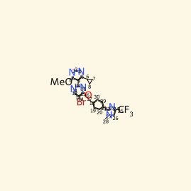 COc1ncnc(C2CC2)c1-c1ncc(Br)c(OCc2ccc(-c3nc(C(F)(F)F)cn3C)cc2)n1